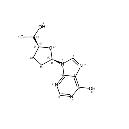 Oc1ncnc2c1ncn2[C@H]1CC[C@@H](C(O)F)O1